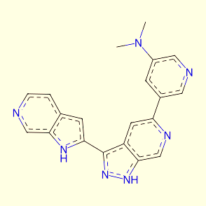 CN(C)c1cncc(-c2cc3c(-c4cc5ccncc5[nH]4)n[nH]c3cn2)c1